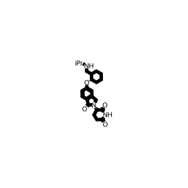 CC(C)NCC1CCCC[C@@H]1Oc1ccc2c(c1)CN(C1CCC(=O)NC1=O)C2=O